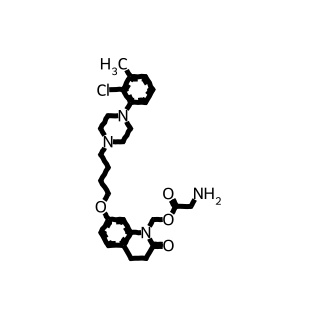 Cc1cccc(N2CCN(CCCCOc3ccc4c(c3)N(COC(=O)CN)C(=O)CC4)CC2)c1Cl